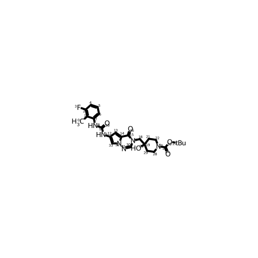 Cc1c(F)cccc1NC(=O)Nc1cc2c(=O)n(CC3(O)CCN(C(=O)OC(C)(C)C)CC3)cnn2c1